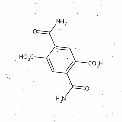 NC(=O)c1cc(C(=O)O)c(C(N)=O)cc1C(=O)O